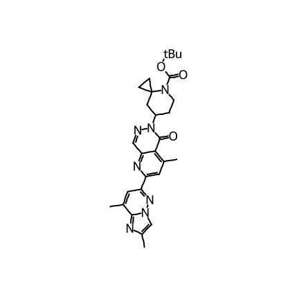 Cc1cn2nc(-c3cc(C)c4c(=O)n(C5CCN(C(=O)OC(C)(C)C)C6(CC6)C5)ncc4n3)cc(C)c2n1